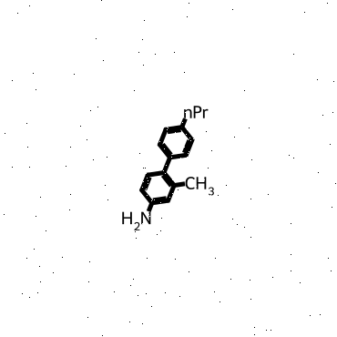 CCCc1ccc(-c2ccc(N)cc2C)cc1